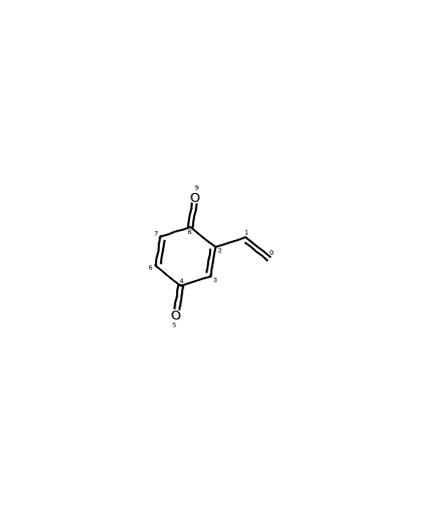 C=CC1=CC(=O)C=CC1=O